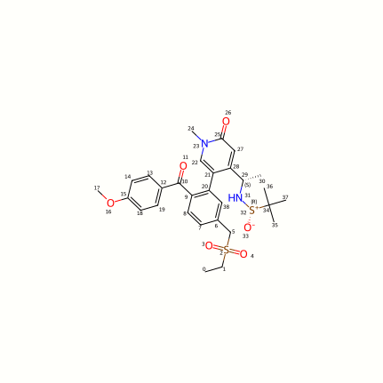 CCS(=O)(=O)Cc1ccc(C(=O)c2ccc(OC)cc2)c(-c2cn(C)c(=O)cc2[C@H](C)N[S@@+]([O-])C(C)(C)C)c1